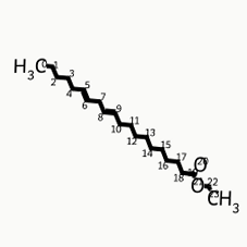 CCCCCC=CCC=CCCCCCCCCCC(=O)OCC